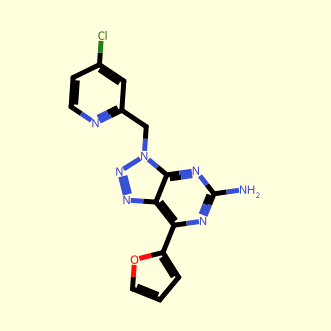 Nc1nc(-c2ccco2)c2nnn(Cc3cc(Cl)ccn3)c2n1